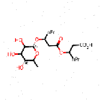 CCCC(CC(=O)O)OC(=O)CC(CCC)O[C@@H]1OC(C)[C@H](O)C(O)C1O